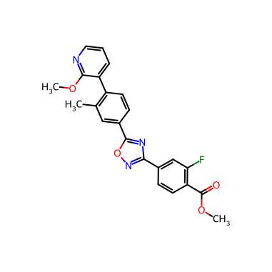 COC(=O)c1ccc(-c2noc(-c3ccc(-c4cccnc4OC)c(C)c3)n2)cc1F